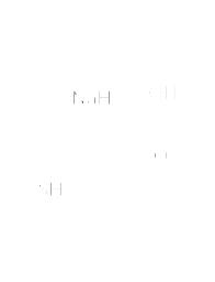 O=C(O)CCCS.[NaH]